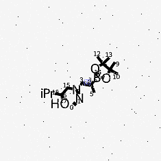 C=NN(/C=C(\C)B1OC(C)(C)C(C)(C)O1)CC(O)C(C)C